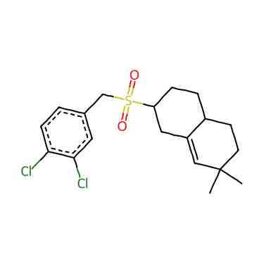 CC1(C)C=C2CC(S(=O)(=O)Cc3ccc(Cl)c(Cl)c3)CCC2CC1